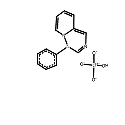 C1=CC2=CN=CN(c3ccccc3)N2C=C1.[O-][Cl+3]([O-])([O-])O